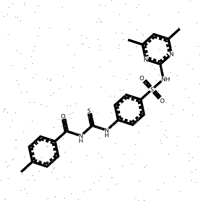 Cc1ccc(C(=O)NC(=S)Nc2ccc(S(=O)(=O)Nc3nc(C)cc(C)n3)cc2)cc1